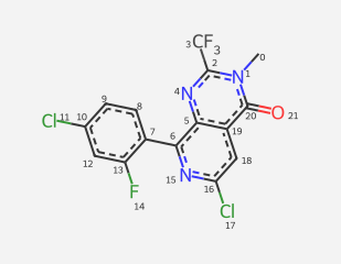 Cn1c(C(F)(F)F)nc2c(-c3ccc(Cl)cc3F)nc(Cl)cc2c1=O